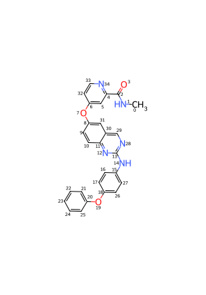 CNC(=O)c1cc(Oc2ccc3nc(Nc4ccc(Oc5ccccc5)cc4)ncc3c2)ccn1